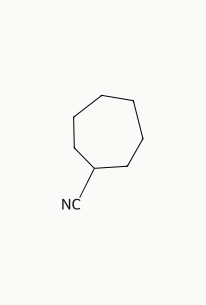 N#CC1CCCCCC1